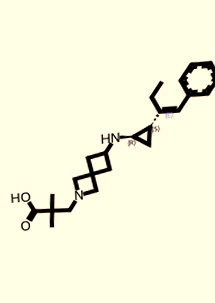 CC/C(=C\c1ccccc1)[C@@H]1C[C@H]1NC1CC2(C1)CN(CC(C)(C)C(=O)O)C2